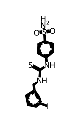 NS(=O)(=O)c1ccc(NC(=S)NCc2cccc(I)c2)cc1